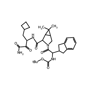 CC(C)(C)OC(=O)NC(C(=O)N1CC2C(C1C(=O)NC(CC1CCC1)C(=O)C(N)=O)C2(C)C)C1Cc2ccccc2C1